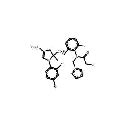 CC1(C(=O)O)CC(C(=O)O)=NN1c1ccc(Cl)cc1Cl.Cc1cccc(C)c1N(Cn1cccn1)C(=O)CCl